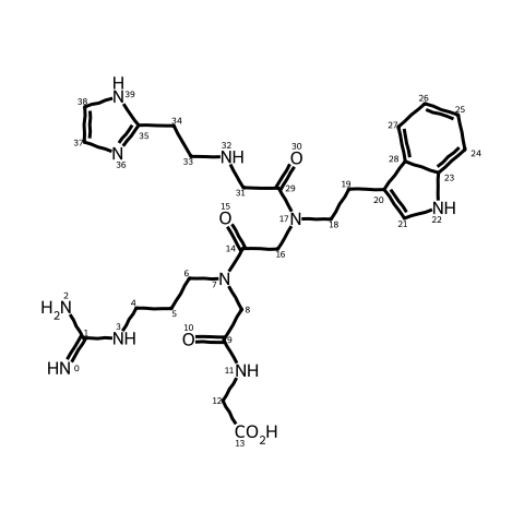 N=C(N)NCCCN(CC(=O)NCC(=O)O)C(=O)CN(CCc1c[nH]c2ccccc12)C(=O)CNCCc1ncc[nH]1